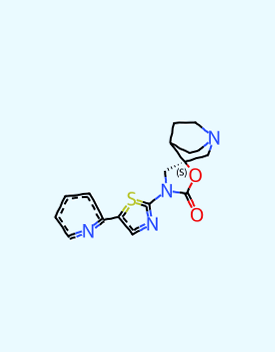 O=C1O[C@@]2(CN3CCC2CC3)CN1c1ncc(-c2ccccn2)s1